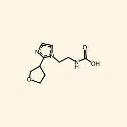 O=C(O)NCCn1ccnc1C1CCOC1